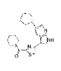 O=C(c1nc(C2CNc3ncc(C4CCCCC4)cc32)cs1)N1CCCCC1